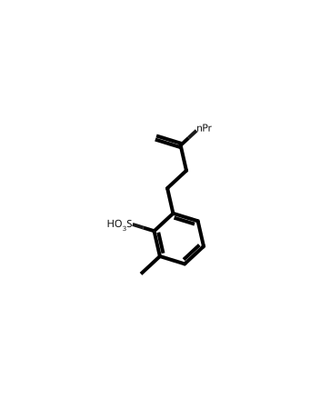 C=C(CCC)CCc1cccc(C)c1S(=O)(=O)O